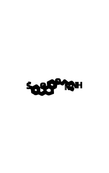 CSc1ccc(C=C2CCc3cc(OCCc4c[nH]cn4)ccc3C2=O)cc1